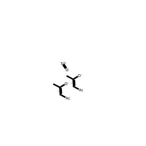 CC(=O)/C=C(/C)[O-].CC(=O)/C=C(/C)[O-].[O]=[Ti+2]